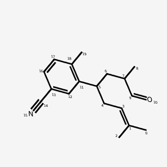 CC(C)=CCC(CC(C)C=O)c1cc(C#N)ccc1C